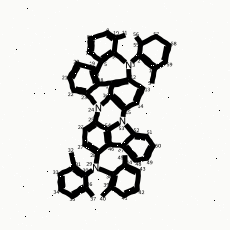 CC1=C(N(c2c(C)cccc2C)c2ccc3c4c2c2ccccc2n4c2ccc(N(c4c(C)cccc4C)c4c(C)cccc4C)c4c5ccccc5n3c42)C(C)CC=C1